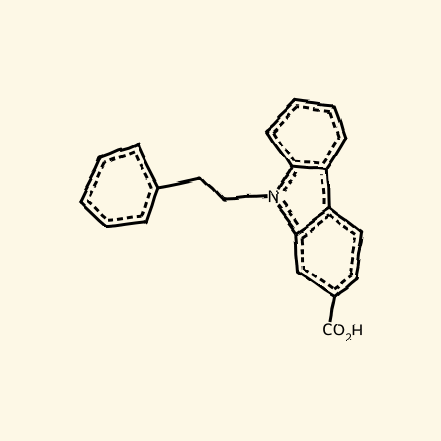 O=C(O)c1ccc2c3ccccc3n(CCc3ccccc3)c2c1